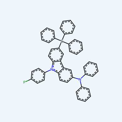 Fc1ccc(-n2c3ccc(N(c4ccccc4)c4ccccc4)cc3c3cc([Si](c4ccccc4)(c4ccccc4)c4ccccc4)ccc32)cc1